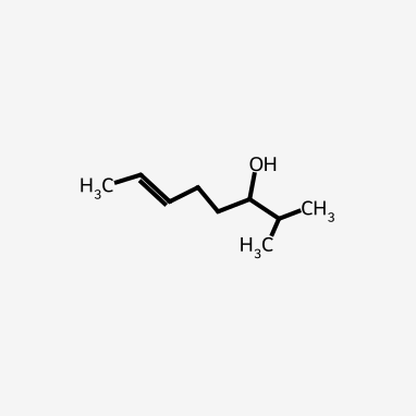 CC=CCCC(O)C(C)C